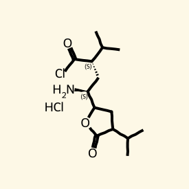 CC(C)C1CC([C@@H](N)C[C@H](C(=O)Cl)C(C)C)OC1=O.Cl